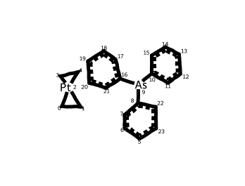 [CH2]1[CH2][Pt]12[CH2][CH2]2.c1ccc([As](c2ccccc2)c2ccccc2)cc1